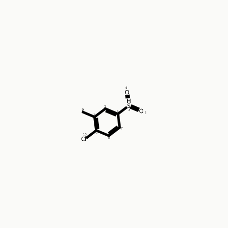 Cc1cc([SH](=O)=O)ccc1Cl